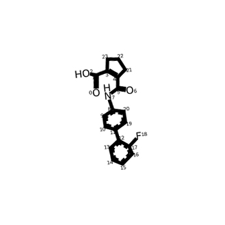 O=C(O)C1=C(C(=O)Nc2ccc(-c3ccccc3F)cc2)CCC1